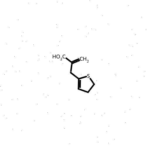 C=C(CC1=CCCS1)C(=O)O